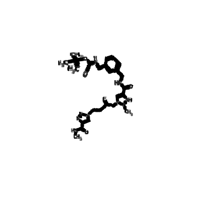 CNC(=O)c1cn(CCC(F)CN2C=C(C(=O)NCc3cccc(CNC(=O)OC(C)(C)C)c3)NN2C)nn1